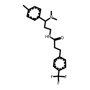 Cc1ccc(C(CCNC(=O)CCc2ccc(C(F)(F)F)cc2)N(C)C)cc1